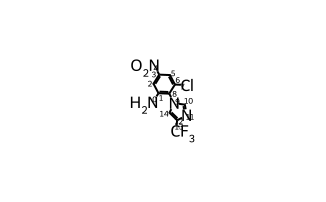 Nc1cc([N+](=O)[O-])cc(Cl)c1-n1cnc(C(F)(F)F)c1